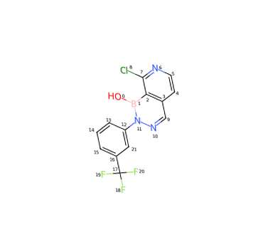 OB1c2c(ccnc2Cl)C=NN1c1cccc(C(F)(F)F)c1